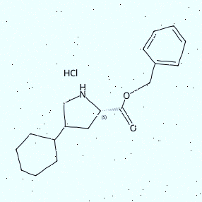 Cl.O=C(OCc1ccccc1)[C@@H]1CC(C2CCCCC2)CN1